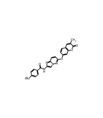 Cc1cc2ccc(Oc3ccc4nc(NC(=O)c5ccc(C(C)(C)C)cc5)cn4n3)cc2oc1=O